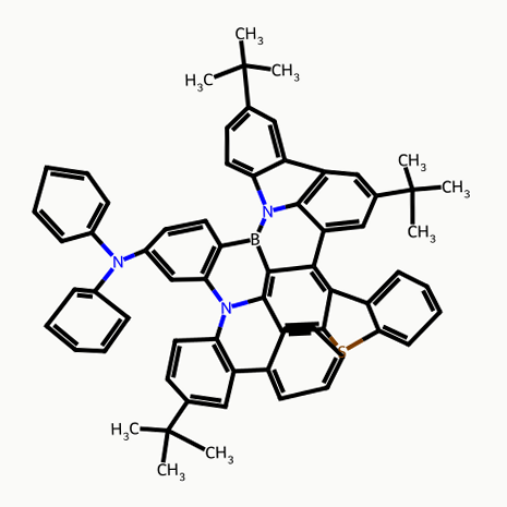 CC(C)(C)c1ccc(N2c3cc(N(c4ccccc4)c4ccccc4)ccc3B3c4c2cc2sc5ccccc5c2c4-c2cc(C(C)(C)C)cc4c5cc(C(C)(C)C)ccc5n3c24)c(-c2ccccc2)c1